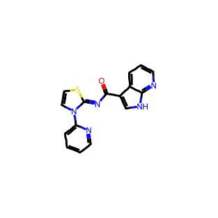 O=C(/N=c1\sccn1-c1ccccn1)c1c[nH]c2ncccc12